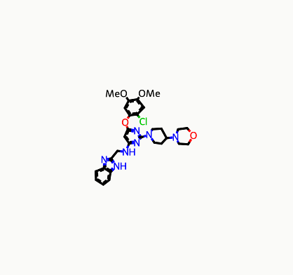 COc1cc(Cl)c(Oc2cc(NCc3nc4ccccc4[nH]3)nc(N3CCC(N4CCOCC4)CC3)n2)cc1OC